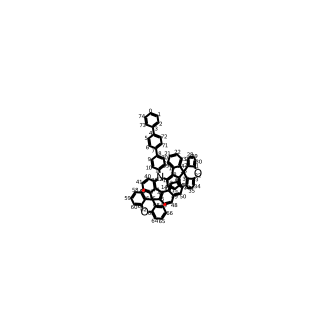 c1ccc(-c2ccc(-c3ccc(N(c4cccc5c4-c4ccccc4C54c5ccccc5Oc5ccccc54)c4cccc5c4-c4c(ccc6ccccc46)C54c5ccccc5Oc5ccccc54)cc3)cc2)cc1